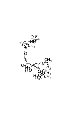 CC(C)=NCC1C[C@H](n2cc(C#CCOCSSC(C)(C)CNC(=O)C(F)(F)F)c(=O)[nH]c2=O)O[C@@H]1CO[Si](C)(C)C(C)(C)C